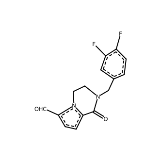 O=Cc1ccc2n1CCN(Cc1ccc(F)c(F)c1)C2=O